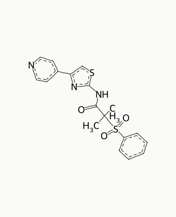 CC(C)(C(=O)Nc1nc(-c2ccncc2)cs1)S(=O)(=O)c1ccccc1